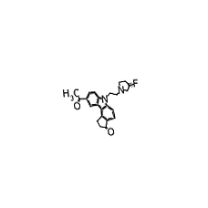 CC(=O)c1ccc2c(c1)c1c3c(ccc1n2CCN1CC[C@@H](F)C1)C(=O)CC3